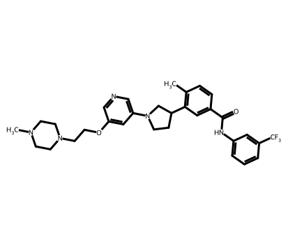 Cc1ccc(C(=O)Nc2cccc(C(F)(F)F)c2)cc1C1CCN(c2cncc(OCCN3CCN(C)CC3)c2)C1